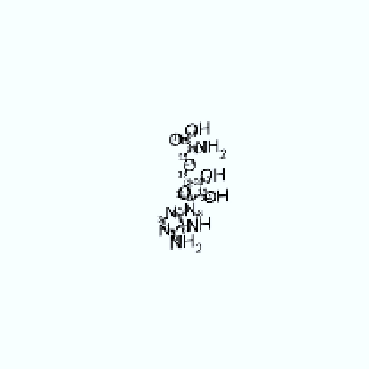 Nc1ncnc2c1NCN2[C@@H]1O[C@H](COC[C@H](N)C(=O)O)C(O)[C@@H]1O